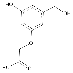 O=C(O)COc1cc(O)cc(CO)c1